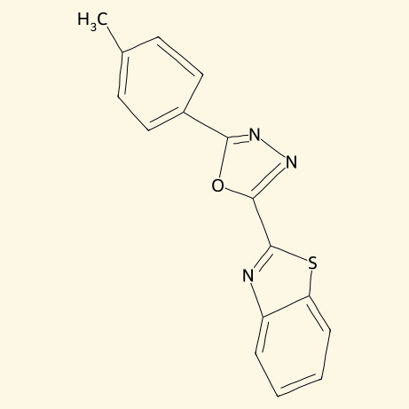 Cc1ccc(-c2nnc(-c3nc4ccccc4s3)o2)cc1